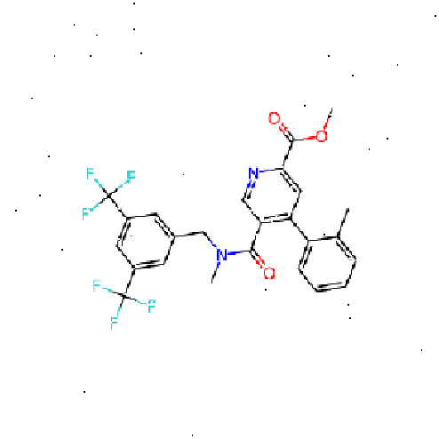 COC(=O)c1cc(-c2ccccc2C)c(C(=O)N(C)Cc2cc(C(F)(F)F)cc(C(F)(F)F)c2)cn1